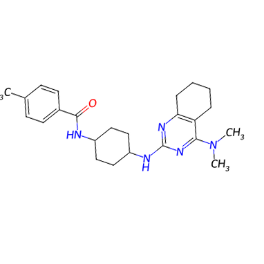 Cc1ccc(C(=O)NC2CCC(Nc3nc4c(c(N(C)C)n3)CCCC4)CC2)cc1